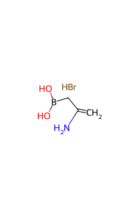 Br.C=C(N)CB(O)O